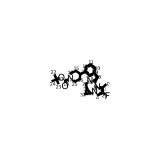 Cc1c(F)cnn1-c1cc2cccc(C3CCN(C(=O)OC(C)(C)C)CC3)c2n1CC1CC1